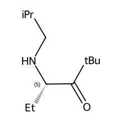 CC[C@H](NCC(C)C)C(=O)C(C)(C)C